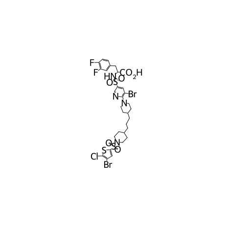 O=C(O)C(Cc1ccc(F)c(F)c1)NS(=O)(=O)c1cnc(N2CCC(CCCC3CCN(S(=O)(=O)c4cc(Br)c(Cl)s4)CC3)CC2)c(Br)c1